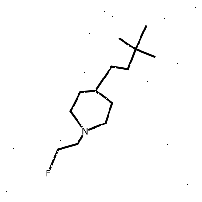 CC(C)(C)CCC1CCN(CCF)CC1